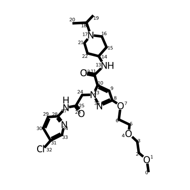 COCCOCCOc1cc(C(=O)NC2CCN(C(C)C)CC2)n(CC(=O)Nc2ccc(Cl)cn2)n1